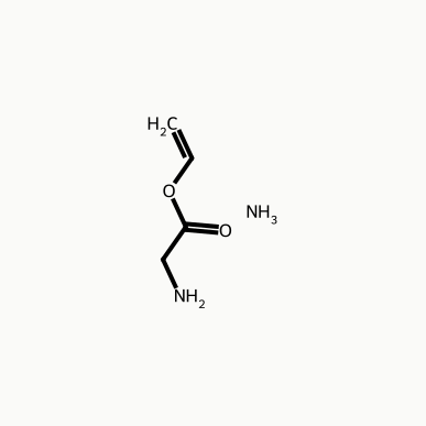 C=COC(=O)CN.N